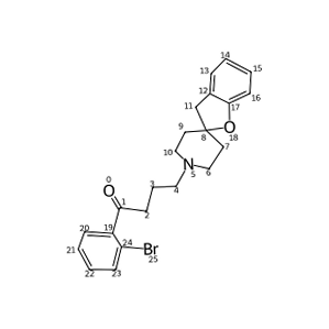 O=C(CCCN1CCC2(CC1)Cc1ccccc1O2)c1ccccc1Br